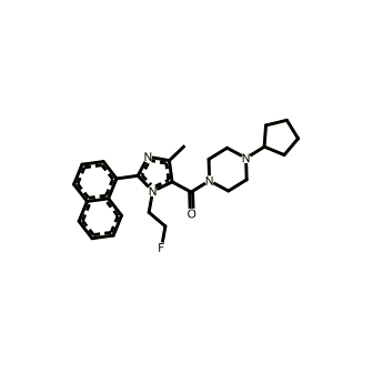 Cc1nc(-c2cccc3ccccc23)n(CCF)c1C(=O)N1CCN(C2CCCC2)CC1